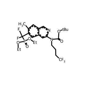 CCOP(=O)(OCC)C(F)(F)c1cc2cc(N(CCCC(F)(F)F)C(=O)OC(C)(C)C)ncc2cc1C